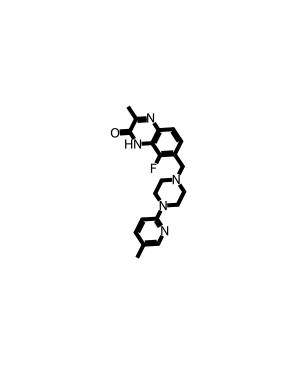 Cc1ccc(N2CCN(Cc3ccc4nc(C)c(=O)[nH]c4c3F)CC2)nc1